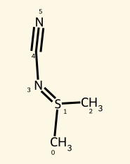 CS(C)=NC#N